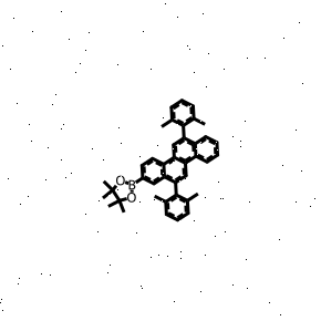 Cc1cccc(C)c1-c1cc2c3ccc(B4OC(C)(C)C(C)(C)O4)cc3c(-c3c(C)cccc3C)cc2c2ccccc12